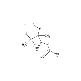 CC1(C)CCCCC1(C)C(O)CC(=O)O